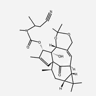 CC1=C[C@]23C(=O)[C@@H](C=C4COC(C)(C)O[C@H]4[C@]2(O)[C@H]1OC(=O)N(C)C(C)CC#N)[C@H]1[C@@H](C[C@H]3C)C1(C)C